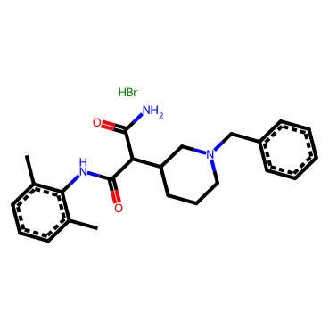 Br.Cc1cccc(C)c1NC(=O)C(C(N)=O)C1CCCN(Cc2ccccc2)C1